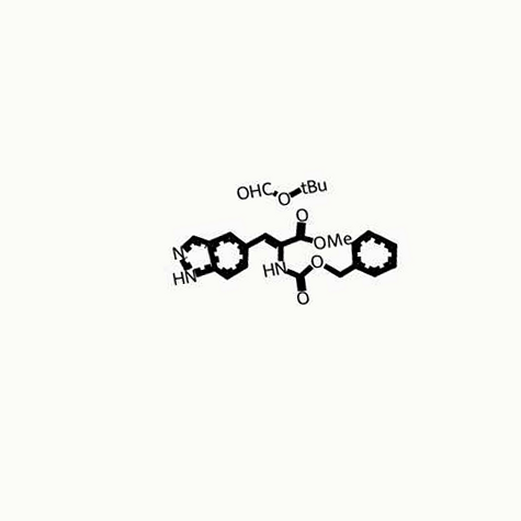 CC(C)(C)OC=O.COC(=O)C(=Cc1ccc2[nH]ncc2c1)NC(=O)OCc1ccccc1